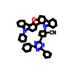 N#Cc1cc(-c2nc(-c3ccccc3)nc(-c3ccccc3)n2)ccc1-n1c2ccccc2c2ccc3oc4c(ccc5c4c4ccccc4n5-c4ccccc4)c3c21